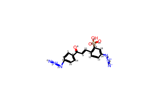 [N-]=[N+]=Nc1ccc(C(=O)C=Cc2ccc(N=[N+]=[N-])cc2S(=O)(=O)O)cc1